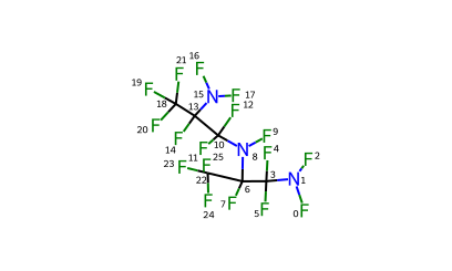 FN(F)C(F)(F)C(F)(N(F)C(F)(F)C(F)(N(F)F)C(F)(F)F)C(F)(F)F